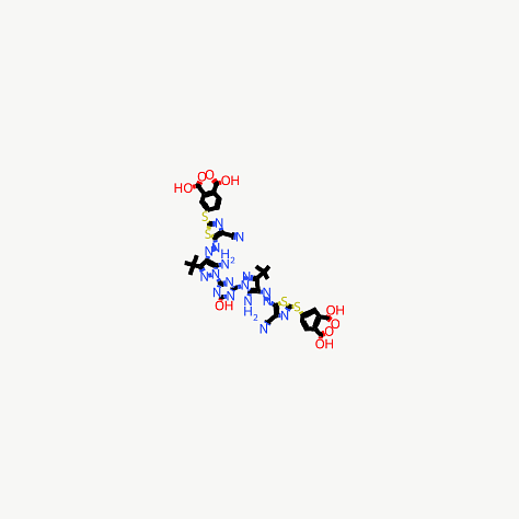 CC(C)(C)c1nn(-c2nc(O)nc(-n3nc(C(C)(C)C)c(N=Nc4sc(Sc5ccc(C(=O)O)c(C(=O)O)c5)nc4C#N)c3N)n2)c(N)c1N=Nc1sc(Sc2ccc(C(=O)O)c(C(=O)O)c2)nc1C#N